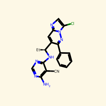 CC[C@H](Nc1ncnc(N)c1C#N)c1cc2ncc(Cl)n2nc1-c1ccccc1